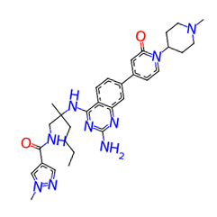 CCCCC(C)(CNC(=O)c1cnn(C)c1)Nc1nc(N)nc2cc(-c3ccn(C4CCN(C)CC4)c(=O)c3)ccc12